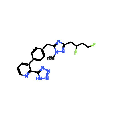 CCCCn1nc(CC(F)CCF)nc1Cc1ccc(-c2cccnc2-c2nnn[nH]2)cc1